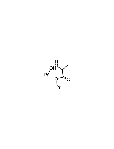 CC(C)O.CC(C)OC(=O)C(C)O